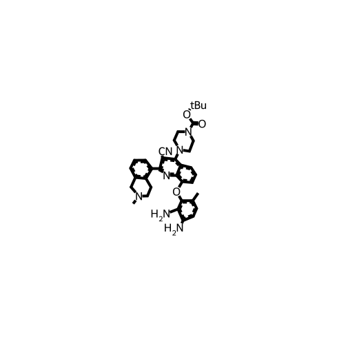 Cc1ccc(N)c(N)c1Oc1cccc2c(N3CCN(C(=O)OC(C)(C)C)CC3)c(C#N)c(-c3cccc4c3CCN(C)C4)nc12